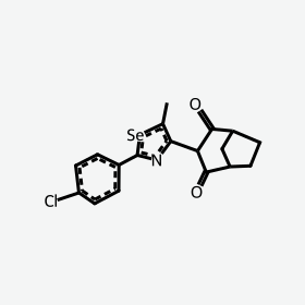 Cc1[se]c(-c2ccc(Cl)cc2)nc1C1C(=O)C2CCC(C2)C1=O